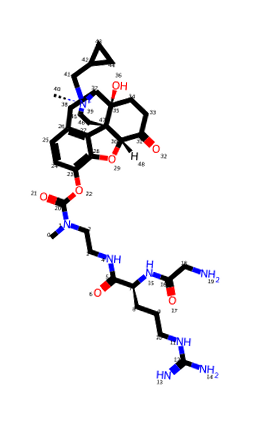 CN(CCNC(=O)[C@H](CCCNC(=N)N)NC(=O)CN)C(=O)Oc1ccc2c3c1O[C@H]1C(=O)CC[C@@]4(O)C(C2)[N@+](C)(CC2CC2)CC[C@]314